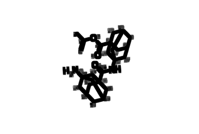 C=C(C)OC(=O)C12CC3CC(CC(NC(=O)C45CC6CC(CC(N)(C6)C4)C5)(C3)C1)C2